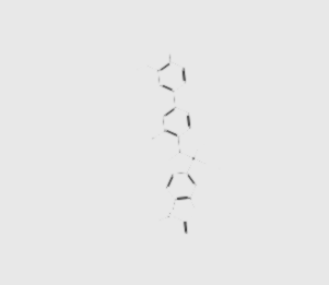 CC(c1ccc(-c2ccc(F)c(OC(=O)O)c2)cc1Cl)C(O)(c1ccc2c(c1)oc(=O)n2C)C(F)(F)F